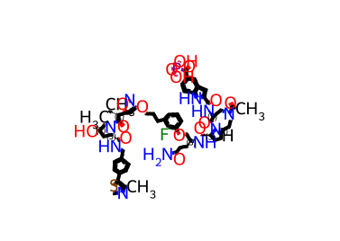 CC(=O)N1CC[C@H]2CC[C@@H](C(=O)N[C@@H](CCC(N)=O)COc3cccc(CCCOc4cc([C@H](C(=O)N5C[C@H](O)C[C@H]5C(=O)NCc5ccc(-c6scnc6C)cc5)C(C)C)on4)c3F)N2C(=O)[C@@H](NC(=O)c2cc3cc(C(=O)P(=O)(O)O)ccc3[nH]2)C1